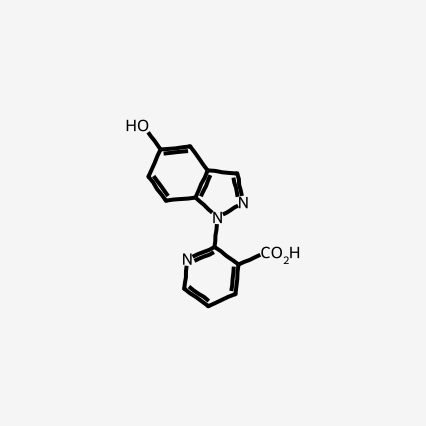 O=C(O)c1cccnc1-n1ncc2cc(O)ccc21